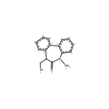 CC(C)CC1C(=O)N(N)c2ccccc2-c2ccccc21